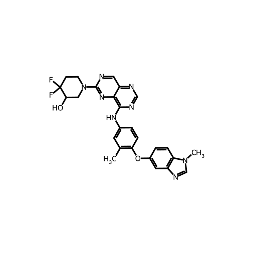 Cc1cc(Nc2ncnc3cnc(N4CCC(F)(F)C(O)C4)nc23)ccc1Oc1ccc2c(c1)ncn2C